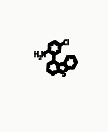 Nc1ccc(Cl)cc1-c1cccc2sc3ccccc3c12